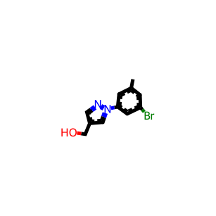 Cc1cc(Br)cc(-n2cc(CO)cn2)c1